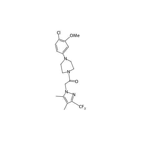 COc1cc(N2CCN(C(=O)Cn3nc(C(F)(F)F)c(C)c3C)CC2)ccc1Cl